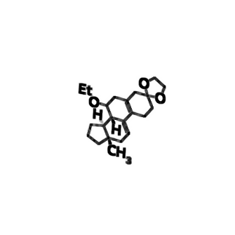 CCOC1CC2=C(CCC3(C2)OCCO3)C2=CC[C@]3(C)CCC[C@H]3[C@@H]21